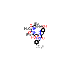 CCC(C)C(NC(C)=O)C(=O)N[C@@H](C)C(=O)N[C@@H](CC(C)C)[C@@H](O)CC(=O)N[C@@H](Cc1ccc(O)cc1)C(=O)NCc1cccc(C(=O)O)c1